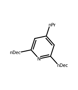 [CH2]CCc1cc(CCCCCCCCCC)nc(CCCCCCCCCC)c1